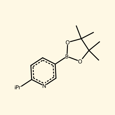 C[14CH](C)c1ccc(B2OC(C)(C)C(C)(C)O2)cn1